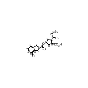 CC(C)(C)OC(=O)N1CC(OC(=O)N2Cc3cccc(Cl)c3C2)CC1C(=O)O